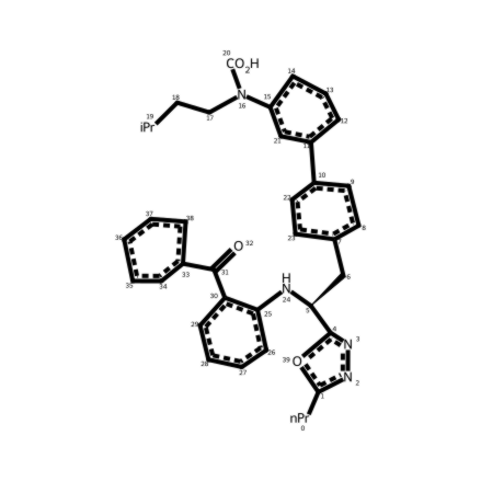 CCCc1nnc([C@H](Cc2ccc(-c3cccc(N(CCC(C)C)C(=O)O)c3)cc2)Nc2ccccc2C(=O)c2ccccc2)o1